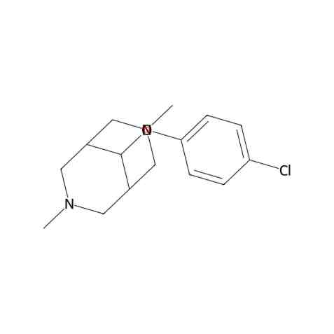 CN1CC2CN(C)CC(C1)C2Oc1ccc(Cl)cc1